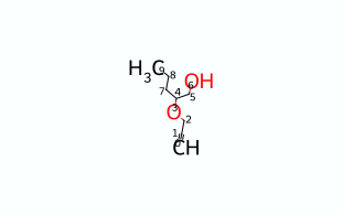 C#CCOC(CO)CCC